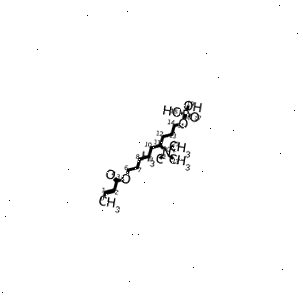 CC=CC(=O)OCCCCCC(CCCOP(=O)(O)O)[N+](C)(C)C